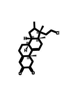 CC1C[C@H]2[C@@H]3CCC4=CC(=O)C(=O)C[C@]4(C)C3=CC[C@]2(C)[C@@]1(C)CCCl